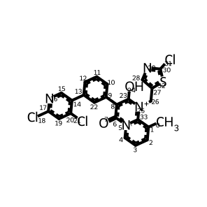 Cc1cccn2c(=O)c(-c3cccc(-c4cnc(Cl)cc4Cl)c3)c(O)[n+](Cc3cnc(Cl)s3)c12